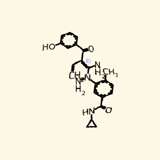 C=C/C(C(=O)c1cccc(O)c1)=C(/N)N(N)c1cc(C(=O)NC2CC2)ccc1C